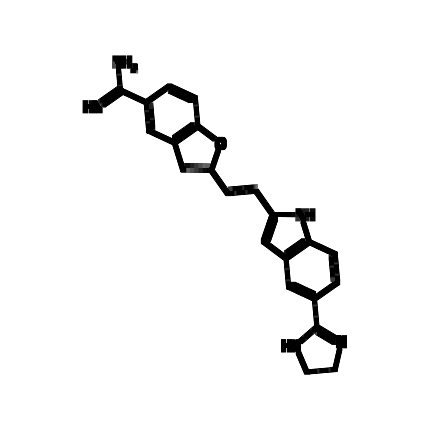 N=C(N)c1ccc2oc(/C=C/c3cc4cc(C5=NCCN5)ccc4[nH]3)cc2c1